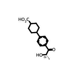 C[C@H](O)C(=O)c1ccc(C2CCC(C(=O)O)CC2)cc1